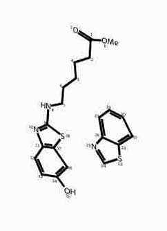 COC(=O)CCCCCNc1nc2ccc(O)cc2s1.c1ccc2scnc2c1